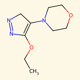 CCOC1=C(N2CCOCC2)CN=N1